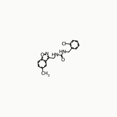 Cc1ccc2onc(CNC(=O)NCc3ccccc3Cl)c2c1